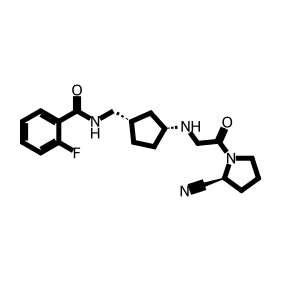 N#C[C@@H]1CCCN1C(=O)CN[C@@H]1CC[C@H](CNC(=O)c2ccccc2F)C1